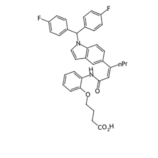 CCC/C(=C/C(=O)Nc1ccccc1OCCCC(=O)O)c1ccc2c(ccn2C(c2ccc(F)cc2)c2ccc(F)cc2)c1